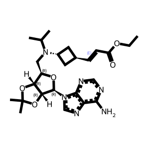 CCOC(=O)/C=C/[C@H]1C[C@H](N(C[C@H]2O[C@@H](n3cnc4c(N)ncnc43)[C@@H]3OC(C)(C)O[C@@H]32)C(C)C)C1